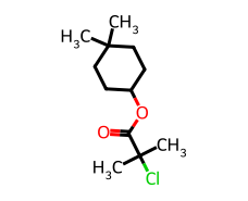 CC1(C)CCC(OC(=O)C(C)(C)Cl)CC1